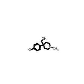 CN1CCC(CO)(c2ccc(Cl)cc2)CC1